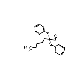 CCCCCC(C=O)(Sc1ccccc1)Sc1ccccc1